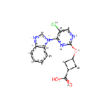 O=C(O)C1CC(Oc2ncc(Cl)c(-n3cnc4ccccc43)n2)C1